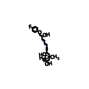 CC(C)(CC(=O)O)CC(O)C#C/C=C/C=C/C(O)COc1ccc(F)cc1